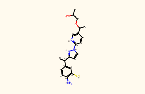 CC(O)COC(C)c1ccc(-n2ccc(C(C)c3ccc(N)c(S)c3)n2)nc1